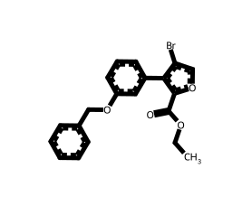 CCOC(=O)c1occ(Br)c1-c1cccc(OCc2ccccc2)c1